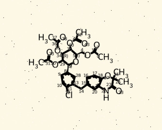 CC(=O)OC[C@H]1O[C@@H](c2ccc(Cl)c(Cc3ccc4c(c3)NC(=O)C(C)(C)O4)c2)C(OC(C)=O)[C@@H](OC(C)=O)C1OC(C)=O